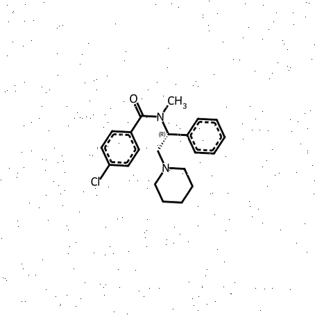 CN(C(=O)c1ccc(Cl)cc1)[C@@H](CN1CCCCC1)c1ccccc1